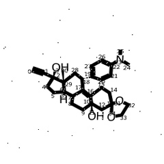 C#C[C@@]1(O)CC[C@H]2C3CC[C@@]4(O)CC5(CCC4=C3[C@@H](c3ccc(N(C)C)cc3)C[C@]21C)OCCO5